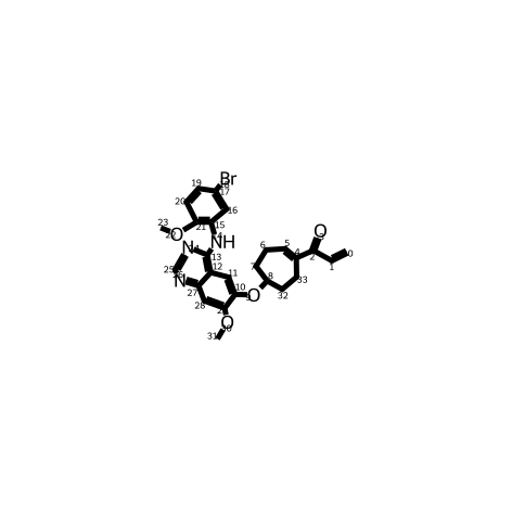 C=CC(=O)C1=CCCC(Oc2cc3c(Nc4cc(Br)ccc4OC)ncnc3cc2OC)CC1